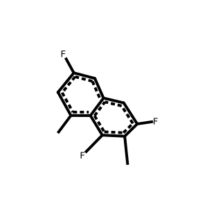 Cc1c(F)cc2cc(F)cc(C)c2c1F